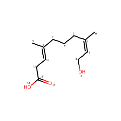 CC(=CCO)CCCC(C)=CCC(=O)O